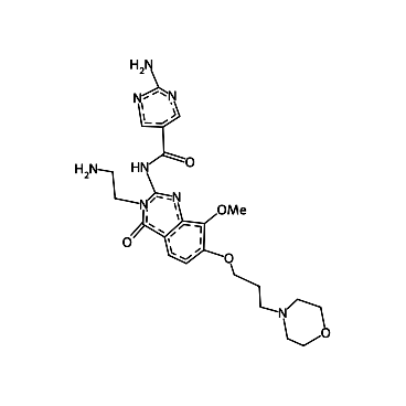 COc1c(OCCCN2CCOCC2)ccc2c(=O)n(CCN)c(NC(=O)c3cnc(N)nc3)nc12